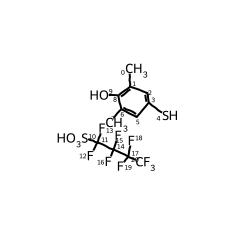 Cc1cc(S)cc(C)c1O.O=S(=O)(O)C(F)(F)C(F)(F)C(F)(F)C(F)(F)F